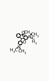 CCN(CC)c1ccc2c(c1)Oc1cc(N(CC)CC)ccc1C2c1ccccc1C(=O)OC